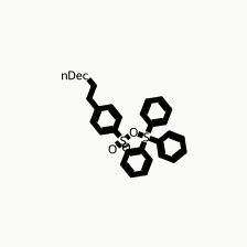 CCCCCCCCCCCCc1ccc(S(=O)(=O)OS(c2ccccc2)(c2ccccc2)c2ccccc2)cc1